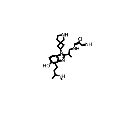 CNC(C)CCc1c(O)ccc2c1nc(C(C)CN/C=C(/Cl)C=N)n2C1CC2(CCNC2)C1